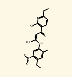 C/C(=C/C(=O)c1ccc(CI)nc1Cl)Nc1cc([N+](=O)[O-])c(CI)cc1F